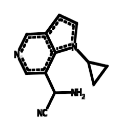 N#CC(N)c1cncc2ccn(C3CC3)c12